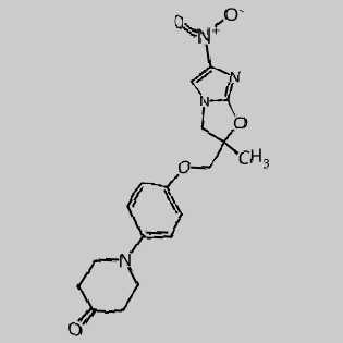 CC1(COc2ccc(N3CCC(=O)CC3)cc2)Cn2cc([N+](=O)[O-])nc2O1